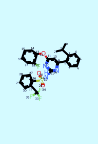 CC(C)c1ccccc1-c1cc(Oc2ccccc2F)nc(NS(=O)(=O)c2ccccc2C(F)(F)F)n1